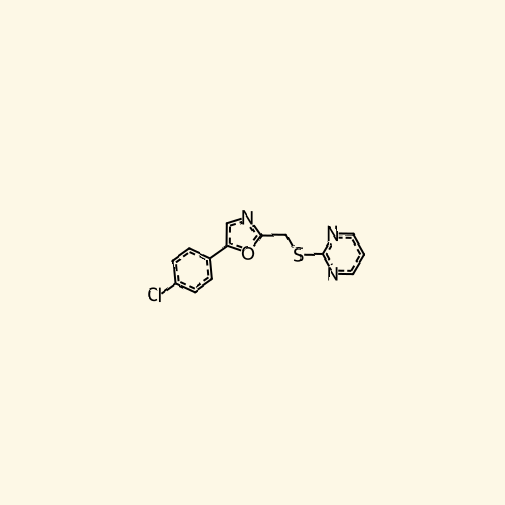 Clc1ccc(-c2cnc(CSc3ncccn3)o2)cc1